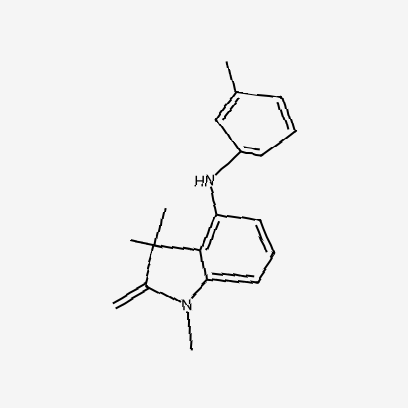 C=C1N(C)c2cccc(Nc3cccc(C)c3)c2C1(C)C